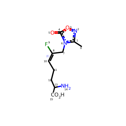 Cc1noc(=O)n1C/C(F)=C\CCC(N)C(=O)O